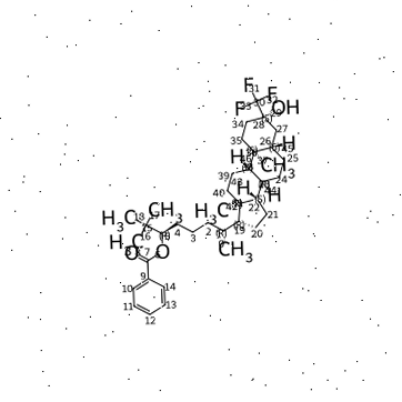 C[C@H](CCC[C@@H](OC(=O)c1ccccc1)C(C)(C)C)[C@H]1CC[C@H]2[C@@H]3CC[C@H]4C[C@](O)(C(F)(F)F)CC[C@]4(C)[C@H]3CC[C@]12C